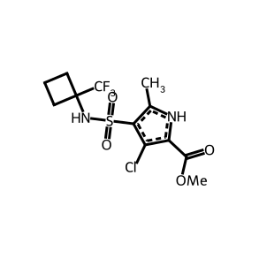 COC(=O)c1[nH]c(C)c(S(=O)(=O)NC2(C(F)(F)F)CCC2)c1Cl